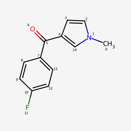 Cn1[c]cc(C(=O)c2ccc(F)cc2)c1